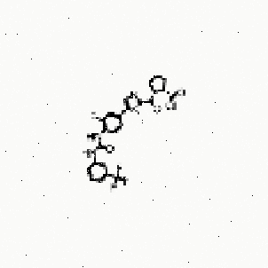 O=C(Nc1cccc(C(F)(F)F)c1)Nc1ccc(-c2cnc(C(=O)[C@H]3CCC[C@@H]3C(=O)O)s2)cc1F